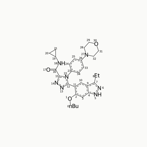 CCCCOc1cc2[nH]nc(CC)c2cc1-c1nnc(C(=O)NC2CC2)n1-c1ccc(N2CCOCC2)cc1